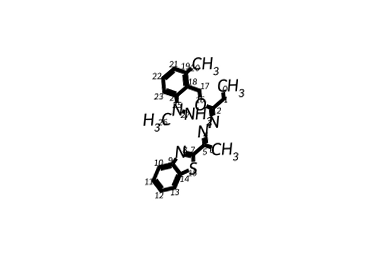 CCC(=NN=C(C)c1nc2ccccc2s1)OCc1c(C)cccc1N(C)N